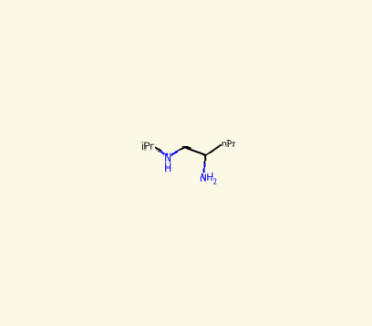 CCCC(N)CNC(C)C